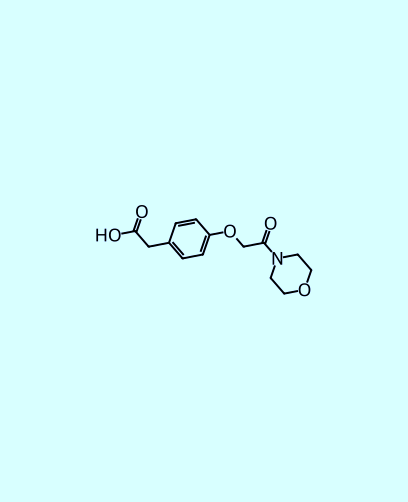 O=C(O)Cc1ccc(OCC(=O)N2CCOCC2)cc1